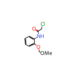 COCOc1ccccc1NC(=O)CCl